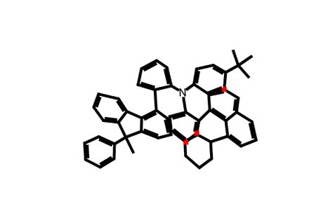 CC(C)(C)c1ccc(N(c2ccccc2-c2cccc3c2-c2ccccc2C3(C)c2ccccc2)c2ccccc2-c2cccc3cccc(C4CCCCC4)c23)cc1